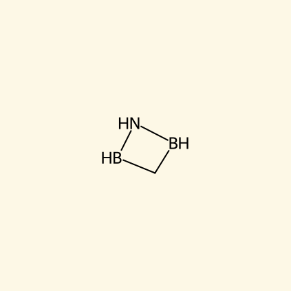 B1CBN1